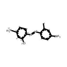 Cc1cc(N)ccc1/N=N/c1ccc(N)cc1Cl